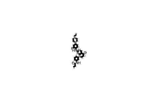 C=CC(=O)Nc1cccc(-n2ccc(=O)c3cnc(Nc4ccc(N5CCN(CC)CC5)cc4F)nc32)c1